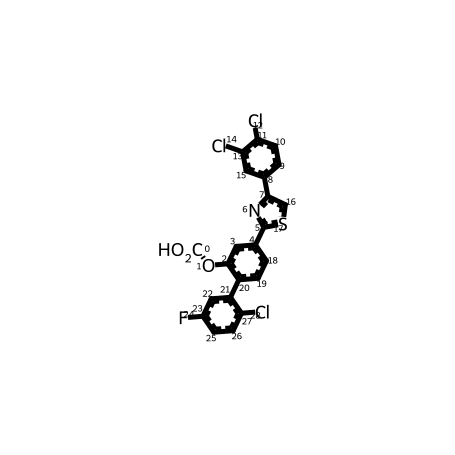 O=C(O)Oc1cc(-c2nc(-c3ccc(Cl)c(Cl)c3)cs2)ccc1-c1cc(F)ccc1Cl